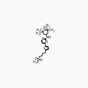 CC1(C)CC(Nc2nccc(-c3ccc(CCCCS(C)(=O)=O)s3)n2)CC(C)(C)N1